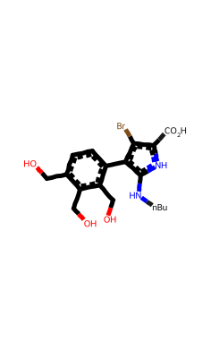 CCCCNc1[nH]c(C(=O)O)c(Br)c1-c1ccc(CO)c(CO)c1CO